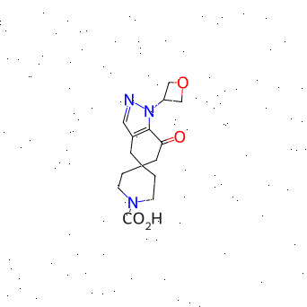 O=C1CC2(CCN(C(=O)O)CC2)Cc2cnn(C3COC3)c21